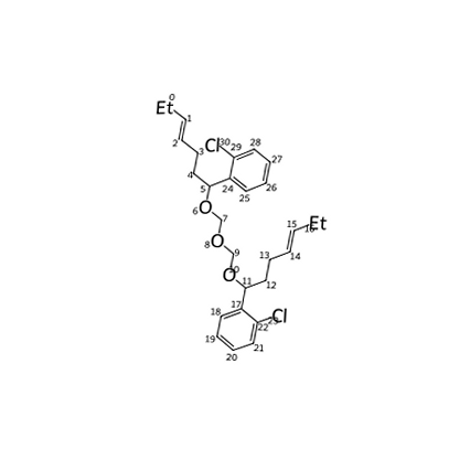 CCC=CCCC(OCOCOC(CCC=CCC)c1ccccc1Cl)c1ccccc1Cl